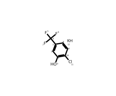 Oc1cc(C(F)(F)F)ccc1Cl.[KH]